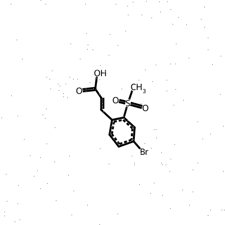 CS(=O)(=O)c1cc(Br)ccc1C=CC(=O)O